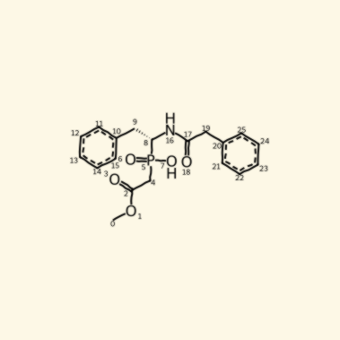 COC(=O)CP(=O)(O)[C@H](Cc1ccccc1)NC(=O)Cc1ccccc1